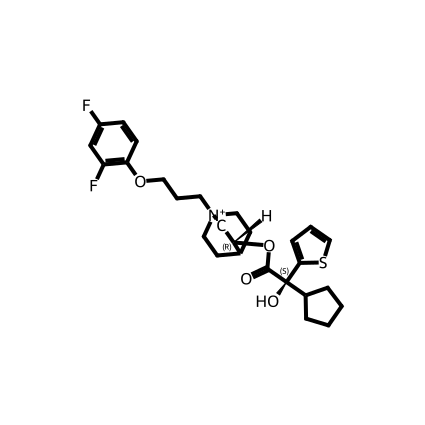 O=C(O[C@H]1C[N+]2(CCCOc3ccc(F)cc3F)CCC1CC2)[C@](O)(c1cccs1)C1CCCC1